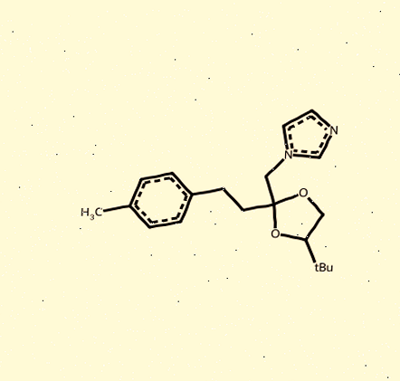 Cc1ccc(CCC2(Cn3ccnc3)OCC(C(C)(C)C)O2)cc1